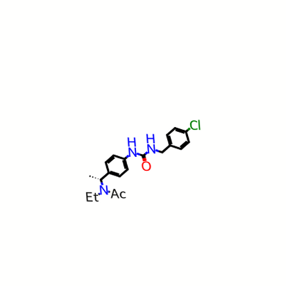 CCN(C(C)=O)[C@H](C)c1ccc(NC(=O)NCc2ccc(Cl)cc2)cc1